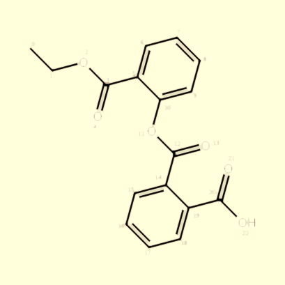 CCOC(=O)c1ccccc1OC(=O)c1ccccc1C(=O)O